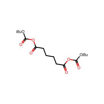 CC(C)COC(=O)OC(=O)CCCCC(=O)OC(=O)OCC(C)C